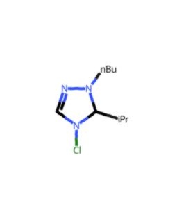 CCCCN1N=CN(Cl)C1C(C)C